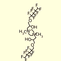 C[N+]1(CC(O)COCC(F)(F)C(F)(F)C(F)(F)C(F)F)CC[N+](C)(CC(O)COCC(F)(F)C(F)(F)C(F)(F)C(F)F)CC1